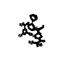 C[C@@H](O[C@H]1CCN(C(=O)C2CCC(C(=O)N(C)C)CC2)C[C@H]1c1ccccc1)c1cc(C(F)(F)F)cc(C(F)(F)F)c1